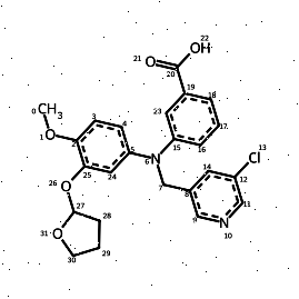 COc1ccc(N(Cc2cncc(Cl)c2)c2cccc(C(=O)O)c2)cc1OC1CCCO1